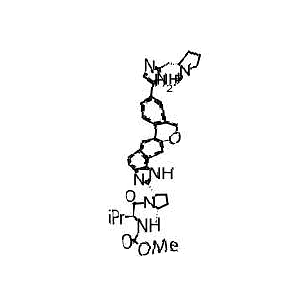 COC(=O)N[C@H](C(=O)N1[C@@H](C)CC[C@H]1c1nc2ccc3cc4c(cc3c2[nH]1)OCc1cc(-c2cnc(C[C@@H]3CCCN3P)[nH]2)ccc1-4)C(C)C